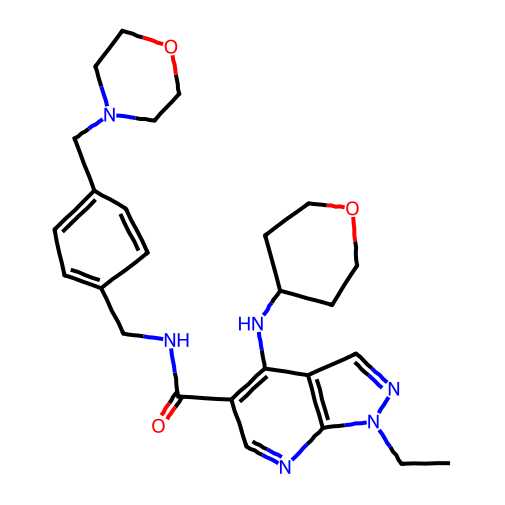 CCn1ncc2c(NC3CCOCC3)c(C(=O)NCc3ccc(CN4CCOCC4)cc3)cnc21